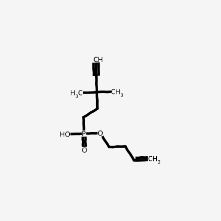 C#CC(C)(C)CCP(=O)(O)OCCC=C